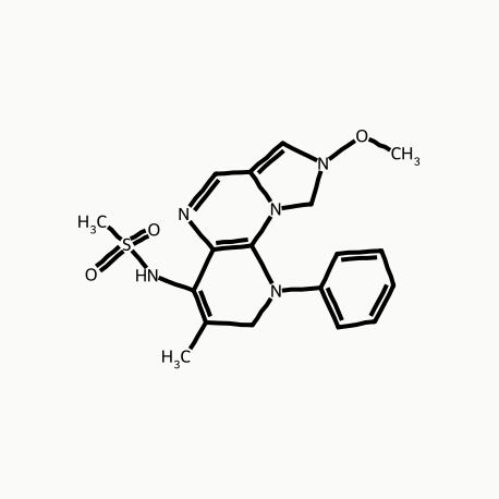 CON1C=C2C=NC3=C(N2C1)N(c1ccccc1)CC(C)=C3NS(C)(=O)=O